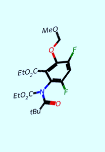 CCOC(=O)c1c(OCOC)c(F)cc(F)c1N(C(=O)OCC)C(=O)C(C)(C)C